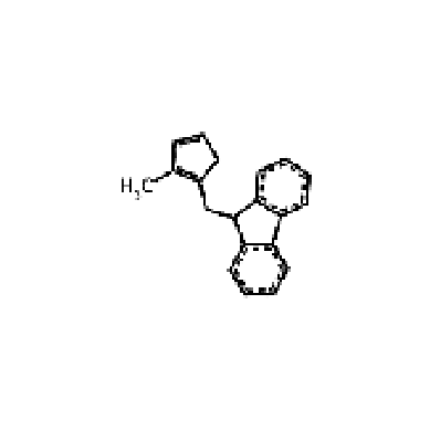 CC1=C(CC2c3ccccc3-c3ccccc32)CC=C1